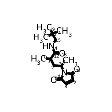 CC(CC(C)N1C(=O)C=CC1=O)C(=O)NCC(C)(C)C